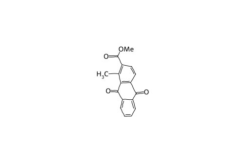 COC(=O)c1ccc2c(c1C)C(=O)c1ccccc1C2=O